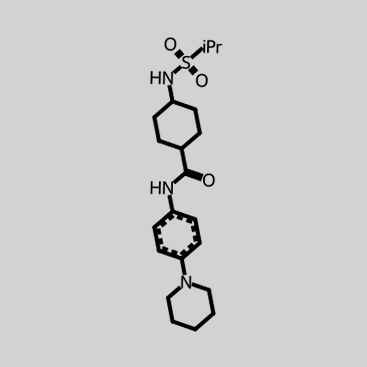 CC(C)S(=O)(=O)NC1CCC(C(=O)Nc2ccc(N3CCCCC3)cc2)CC1